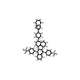 C[Si](C)(C)c1ccc(-c2c3c(c(-c4ccc([Si](C)(C)C)cc4)c4ccccc24)-c2ccc(-c4ccc(-c5cn6ccccc6n5)cc4)c4cccc-3c24)cc1